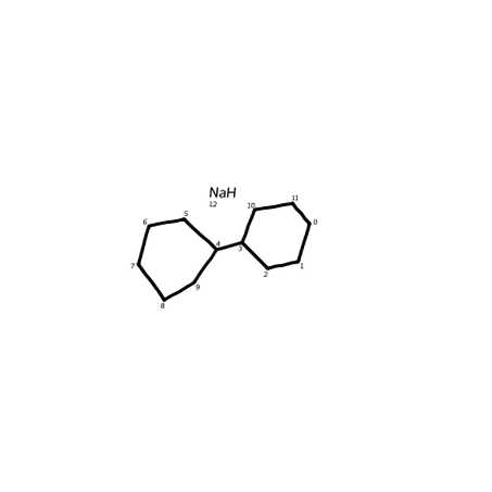 C1CCC(C2CCCCC2)CC1.[NaH]